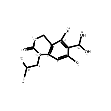 O=C1OCc2c(cc(Br)c(C(O)O)c2Br)N1CC(F)F